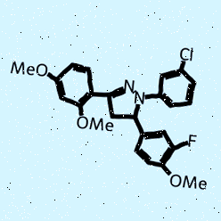 COc1ccc(C2=NN(c3cccc(Cl)c3)C(c3ccc(OC)c(F)c3)C2)c(OC)c1